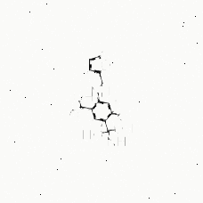 NC(O)(O)c1cc(C(=O)O)c(NCc2ccco2)cc1Cl